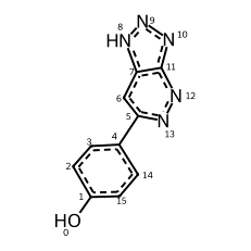 Oc1ccc(-c2cc3[nH]nnc3nn2)cc1